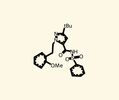 COc1ccccc1CCn1nc(C(C)(C)C)cc1C(=O)NS(=O)(=O)c1ccccc1